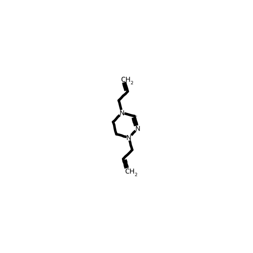 C=CCN1[C]=NN(CC=C)CC1